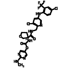 CNc1ncc(OC(=O)N[C@@]2(C(=O)NCc3ncc(Nc4ccc(Cl)cc4C(F)(F)F)cc3Cl)CCOC2)cn1